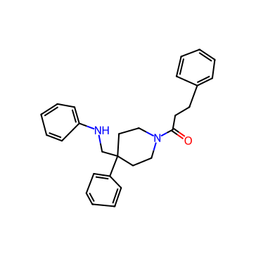 O=C(CCc1ccccc1)N1CCC(CNc2ccccc2)(c2ccccc2)CC1